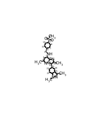 Cc1cc(NCc2ccc(S(C)(=O)=O)cc2)c2nc(C)c(-c3ccc4c(c3)c(C)nn4C)n2n1